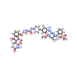 Cc1cc(Nc2ncc(Cl)c(Nc3ccccc3S(=O)(=O)C(C)C)n2)c(OC(C)C)cc1C1CCN(CC(=O)NCCOc2cccc3c2C(=O)N(C2CCC(=O)NC2=O)C3=O)CC1